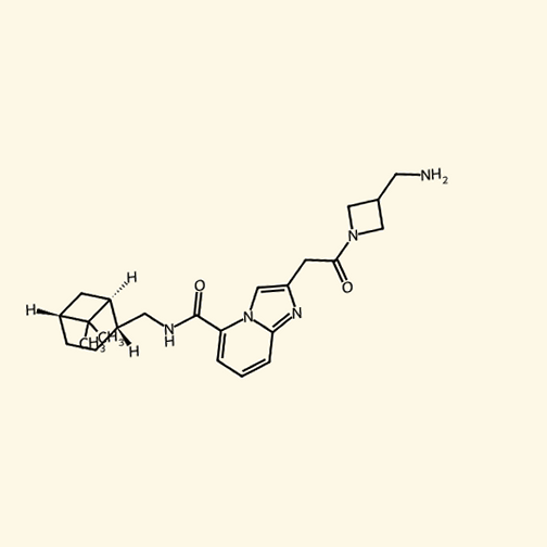 CC1(C)[C@@H]2CC[C@@H](CNC(=O)c3cccc4nc(CC(=O)N5CC(CN)C5)cn34)[C@@H]1C2